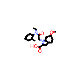 CCN(C(=O)Cn1c(C(=O)O)cc2ccc(OC)cc21)c1ccccc1C